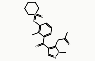 CC(=O)Oc1c(C(=O)c2cccc(N=S3(=O)CCCCC3)c2C)cnn1C